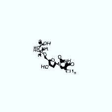 Cc1cn([C@H]2C[C@H](O)[C@@H](COP(=O)(O)NP(=O)(O)O)O2)c(=O)[nH]c1=O